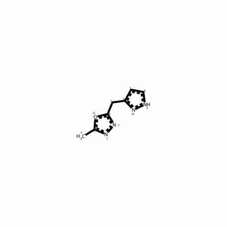 Cc1nnc(Cc2cc[nH]n2)o1